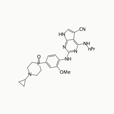 CCCNc1nc(Nc2ccc(P3(=O)CCN(C4CC4)CC3)cc2OC)nc2[nH]cc(C#N)c12